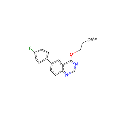 COCCOc1ncnc2ccc(-c3ccc(F)cc3)cc12